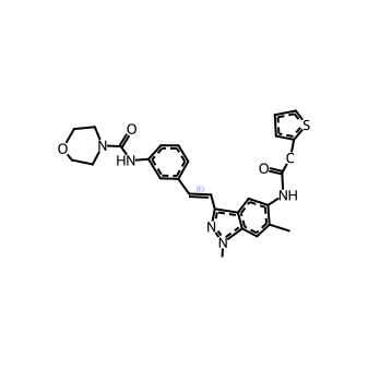 Cc1cc2c(cc1NC(=O)Cc1cccs1)c(/C=C/c1cccc(NC(=O)N3CCOCC3)c1)nn2C